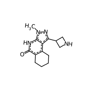 Cn1nc(C2CNC2)c2c3c(c(=O)[nH]c21)CCCC3